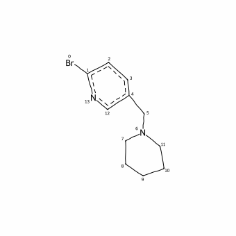 Brc1ccc(CN2CCCCC2)cn1